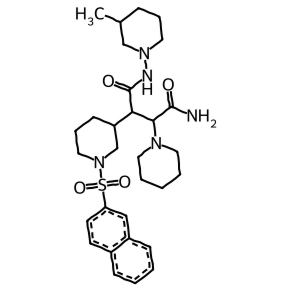 CC1CCCN(NC(=O)C(C2CCCN(S(=O)(=O)c3ccc4ccccc4c3)C2)C(C(N)=O)N2CCCCC2)C1